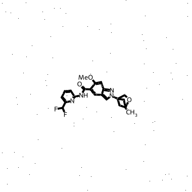 COc1cc2nn(C34COC(C)(C3)C4)cc2cc1C(=O)Nc1cccc(C(F)F)n1